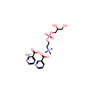 C[N+](C)(C)CCOP(=O)([O-])OCC(O)CO.O=C([O-])c1cccnc1.O=C([O-])c1cccnc1.[Ca+2]